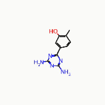 Cc1ccc(-c2nc(N)nc(N)n2)cc1O